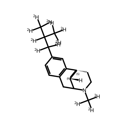 [2H]C([2H])([2H])N1CC[C@@]23CCCC[C@H]2C1Cc1ccc(C([2H])([2H])C([2H])(C([2H])([2H])[2H])C([2H])([2H])[2H])cc13